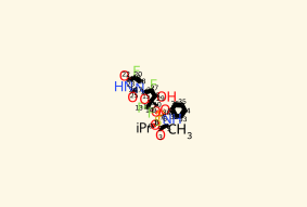 CC(C)OC(=O)[C@H](C)NP(=S)(OC[C@@]1(C(F)F)O[C@@H](n2cc(F)c(=O)[nH]c2=O)[C@H](F)[C@@H]1O)Oc1ccccc1